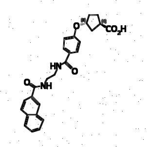 O=C(NCCNC(=O)c1ccc2ccccc2c1)c1ccc(O[C@@H]2CC[C@@H](C(=O)O)C2)cc1